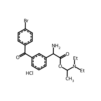 CCN(CC)C(C)OC(=O)C(N)c1cccc(C(=O)c2ccc(Br)cc2)c1.Cl